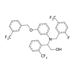 OCC(c1ccccc1C(F)(F)F)N(Cc1cc(C(F)(F)F)ccc1F)c1cccc(OCc2cccc(C(F)(F)F)c2)c1